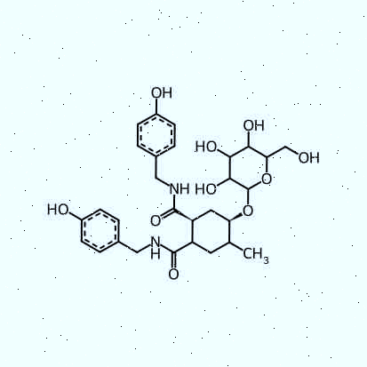 CC1CC(C(=O)NCc2ccc(O)cc2)[C@@H](C(=O)NCc2ccc(O)cc2)C[C@H]1OC1OC(CO)C(O)C(O)C1O